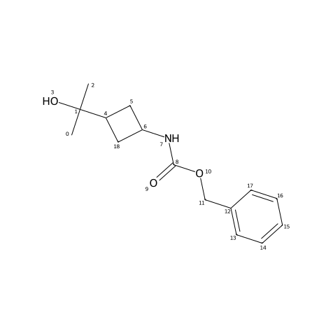 CC(C)(O)C1CC(NC(=O)OCc2ccccc2)C1